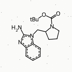 CC(C)(C)OC(=O)N1CCCC1Cn1c(N)nc2ccccc21